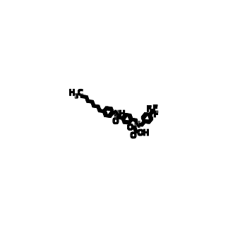 CCCCCCCCc1ccc(NC(=O)c2ccc(CN(Cc3ccc(C(F)(F)F)cc3)C(=O)C(=O)O)cc2)cc1